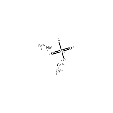 O=S(=O)([O-])[O-].[Ca+2].[Fe+2].[Na+].[Zn+2]